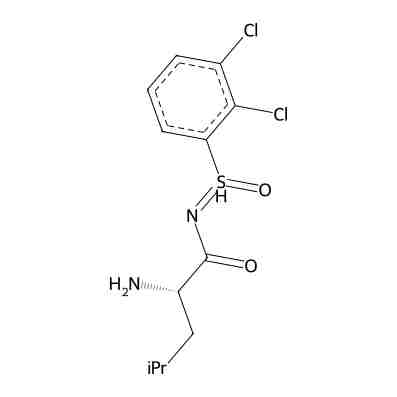 CC(C)C[C@H](N)C(=O)/N=[SH](=O)/c1cccc(Cl)c1Cl